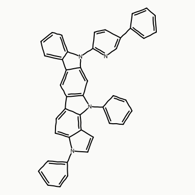 c1ccc(-c2ccc(-n3c4ccccc4c4cc5c6ccc7c(ccn7-c7ccccc7)c6n(-c6ccccc6)c5cc43)nc2)cc1